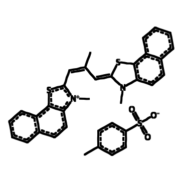 CC(=Cc1sc2c3ccccc3ccc2[n+]1C)C=C1Sc2c(ccc3ccccc23)N1C.Cc1ccc(S(=O)(=O)[O-])cc1